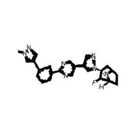 Cn1cc(-c2cccc(-c3ncc(-c4cnn([C@H]5CC6CC[C@@H](N6)C5F)c4)cn3)c2)cn1